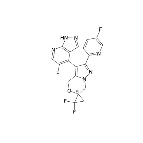 Fc1ccc(-c2nn3c(c2-c2c(F)cnc4[nH]ncc24)CO[C@@]2(C3)CC2(F)F)nc1